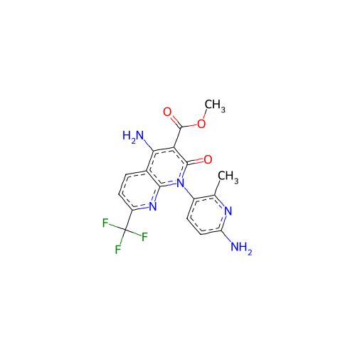 COC(=O)c1c(N)c2ccc(C(F)(F)F)nc2n(-c2ccc(N)nc2C)c1=O